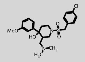 COc1cccc(C2(O)CCN(S(=O)(=O)Cc3ccc(Cl)cc3)CC2CN(C)C)c1